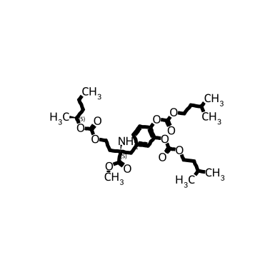 CCC[C@H](C)OC(=O)OCC[C@@](N)(Cc1ccc(OC(=O)OCCC(C)C)c(OC(=O)OCCC(C)C)c1)C(=O)OC